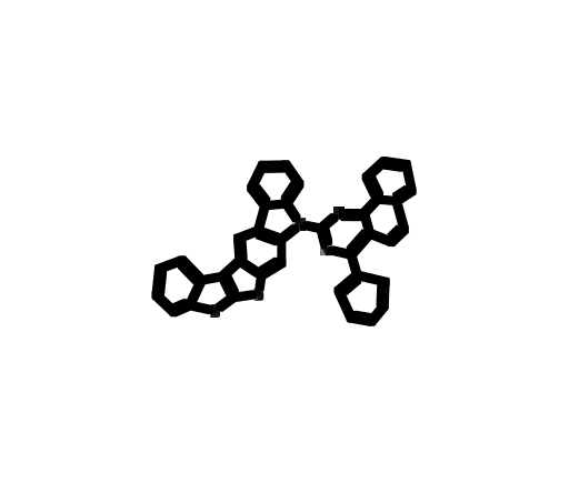 c1ccc(-c2nc(-n3c4ccccc4c4cc5c(cc43)sc3sc4ccccc4c35)nc3c2ccc2ccccc23)cc1